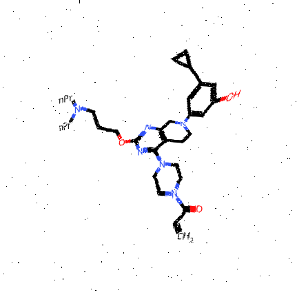 C=CC(=O)N1CCN(c2nc(OCCCN(CCC)CCC)nc3c2CCN(c2cc(O)cc(C4CC4)c2)C3)CC1